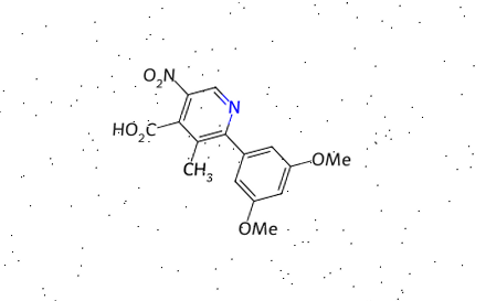 COc1cc(OC)cc(-c2ncc([N+](=O)[O-])c(C(=O)O)c2C)c1